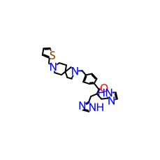 O=C(c1ccc(CN2CCC3(CCN(Cc4cccs4)CC3)C2)cc1)C(Cc1ncc[nH]1)Cc1ncc[nH]1